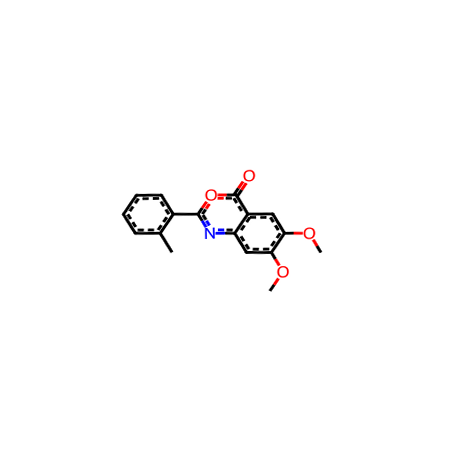 COc1cc2nc(-c3ccccc3C)oc(=O)c2cc1OC